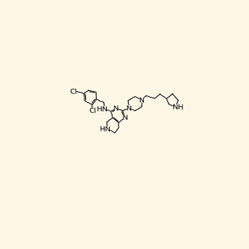 Clc1ccc(CNc2nc(N3CCN(CCCC4CCNC4)CC3)nc3c2CNCC3)c(Cl)c1